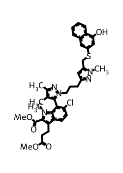 COC(=O)CCc1c(C(=O)OC)n(C)c2c(-c3c(C)c(C)nn3CCCc3cc(CSc4cc(O)c5ccccc5c4)n(C)n3)c(Cl)ccc12